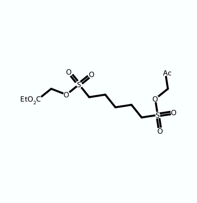 CCOC(=O)COS(=O)(=O)CCCCCS(=O)(=O)OCC(C)=O